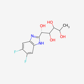 CC(O)C(O)C(O)[C@@H](O)c1nc2cc(F)c(F)cc2[nH]1